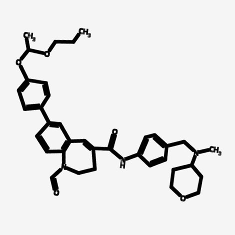 CCCOC(C)Oc1ccc(-c2ccc3c(c2)C=C(C(=O)Nc2ccc(CN(C)C4CCOCC4)cc2)CCN3C=O)cc1